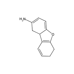 NC1=CC=C2OC3=C(C=CCC3)C2C1